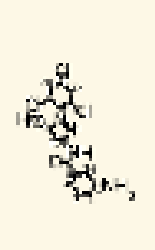 Nc1cccc(C(=O)Nc2cc(O)n(-c3c(Cl)cc(Cl)cc3Cl)n2)c1